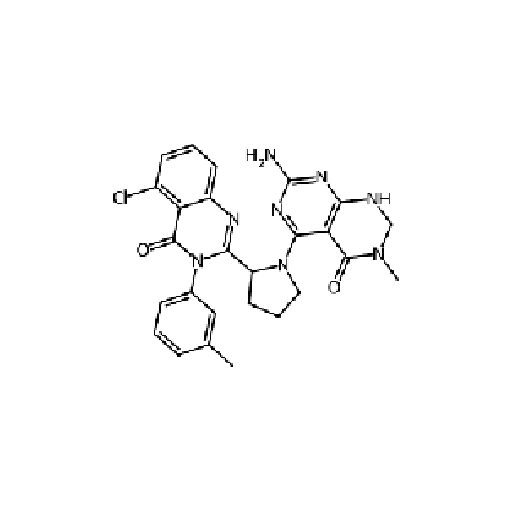 Cc1cccc(-n2c(C3CCCN3c3nc(N)nc4c3C(=O)N(C)CN4)nc3cccc(Cl)c3c2=O)c1